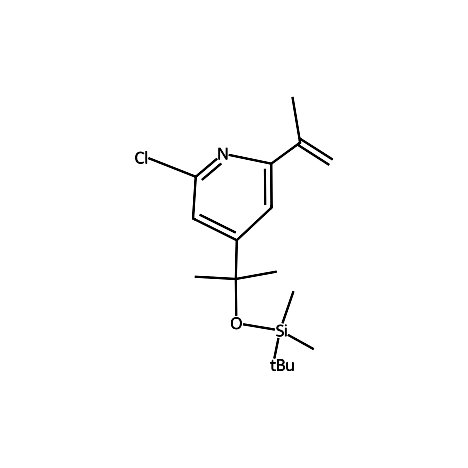 C=C(C)c1cc(C(C)(C)O[Si](C)(C)C(C)(C)C)cc(Cl)n1